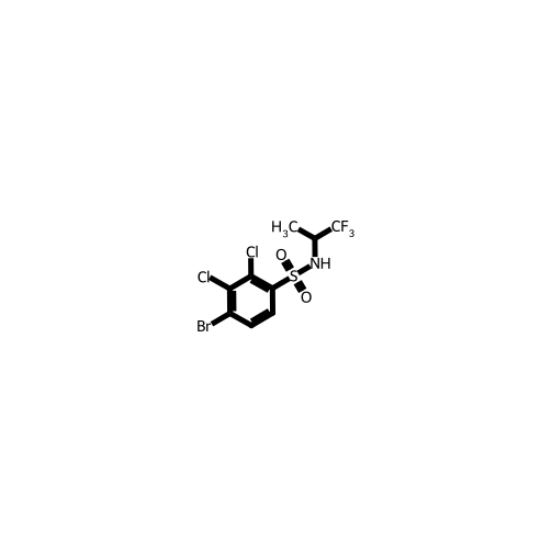 CC(NS(=O)(=O)c1ccc(Br)c(Cl)c1Cl)C(F)(F)F